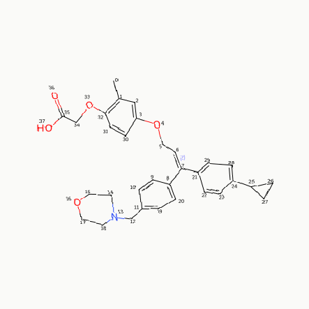 Cc1cc(OC/C=C(\c2ccc(CN3CCOCC3)cc2)c2ccc(C3CC3)cc2)ccc1OCC(=O)O